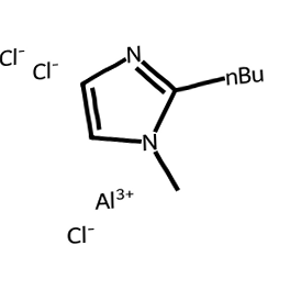 CCCCc1nccn1C.[Al+3].[Cl-].[Cl-].[Cl-]